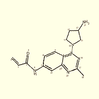 C=CC(=O)Nc1ccc2c(N3CCC(N)C3)nc(C)nc2c1